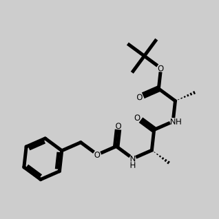 C[C@H](NC(=O)OCc1ccccc1)C(=O)N[C@@H](C)C(=O)OC(C)(C)C